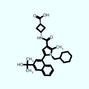 Cc1c(C(=O)N[C@H]2C[C@H](C(=O)O)C2)cc(-c2cc(C(C)(C)O)cc3ccccc23)n1CC1CCCCC1